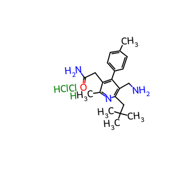 Cc1ccc(-c2c(CC(N)=O)c(C)nc(CC(C)(C)C)c2CN)cc1.Cl.Cl